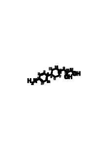 Nc1ccc(C2CCN(C[C@H](O)CO)CC2)cc1